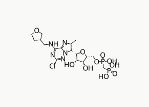 CC1N=C2C(NCC3CCOC3)=NC(Cl)=NN2C1[C@@H]1O[C@H](COP(=O)(O)CP(=O)(O)O)[C@@H](O)[C@H]1O